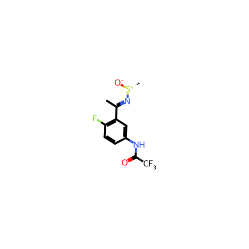 C/C(=N\[S@@+](C)[O-])c1cc(NC(=O)C(F)(F)F)ccc1F